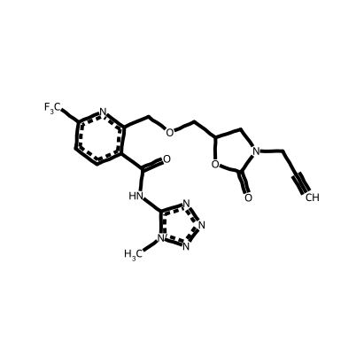 C#CCN1CC(COCc2nc(C(F)(F)F)ccc2C(=O)Nc2nnnn2C)OC1=O